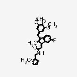 COC1=CC(=CC2=C(C)/C(=C\C(=O)NCc3cccn3C)c3cc(F)ccc32)C=C(OC)C1=O